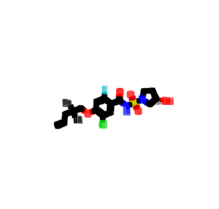 C=CCC(CC)(CC)COc1cc(F)c(C(=O)NS(=O)(=O)N2CC[C@H](O)C2)cc1Cl